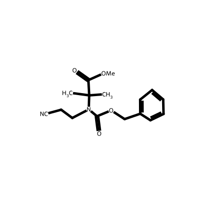 COC(=O)C(C)(C)N(CCC#N)C(=O)OCc1ccccc1